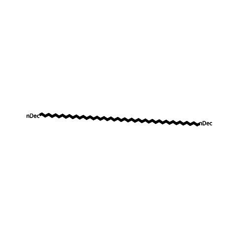 CCCCCCCCCCCCCCCCCCCCCCCCCCCCCCCCCCCCCCCCCCCCCCCCCCCCCCCCCCCCCCCCCC